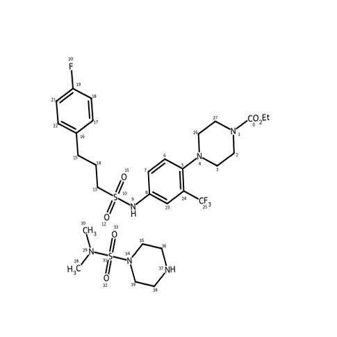 CCOC(=O)N1CCN(c2ccc(NS(=O)(=O)CCCc3ccc(F)cc3)cc2C(F)(F)F)CC1.CN(C)S(=O)(=O)N1CCNCC1